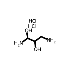 Cl.Cl.NCC(O)C(N)O